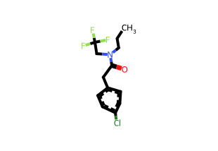 CCCN(CC(F)(F)F)C(=O)Cc1ccc(Cl)cc1